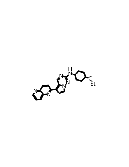 CCOC1CCC(Nc2ncc3c(-c4ccc5ncccc5n4)ccn3n2)CC1